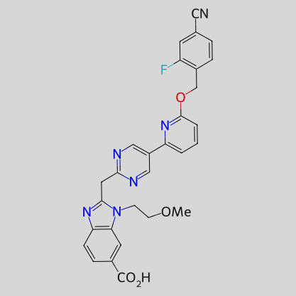 COCCn1c(Cc2ncc(-c3cccc(OCc4ccc(C#N)cc4F)n3)cn2)nc2ccc(C(=O)O)cc21